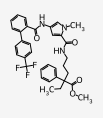 CCC(CCCNC(=O)c1cc(NC(=O)c2ccccc2-c2ccc(C(F)(F)F)cc2)cn1C)(C(=O)OC)c1ccccc1